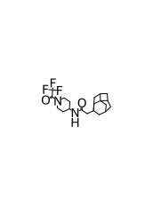 O=C(CC12CC3CC4CC(C1)C4(C3)C2)NC1CCN(C(=O)C(F)(F)F)CC1